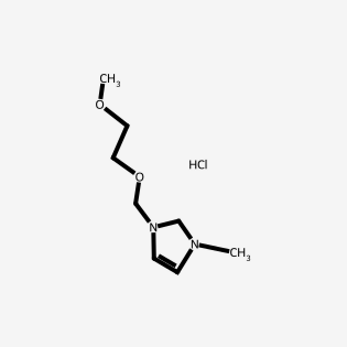 COCCOCN1C=CN(C)C1.Cl